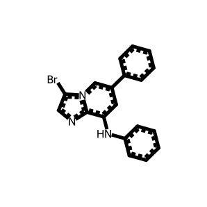 Brc1cnc2c(Nc3ccccc3)cc(-c3ccccc3)cn12